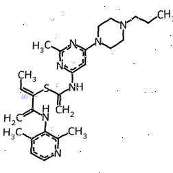 C=C(Nc1cc(N2CCN(CCC)CC2)nc(C)n1)S/C(=C\C)C(=C)Nc1c(C)ccnc1C